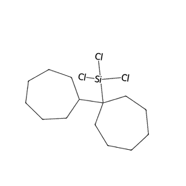 Cl[Si](Cl)(Cl)C1(C2CCCCCC2)CCCCCC1